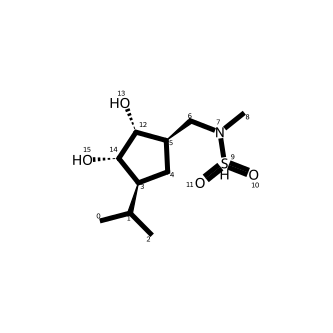 CC(C)[C@@H]1C[C@H](CN(C)[SH](=O)=O)[C@@H](O)[C@H]1O